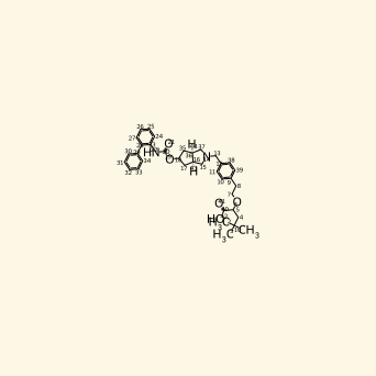 CC(C)(C)CC(OCCc1ccc(CN2C[C@H]3CC(OC(=O)Nc4ccccc4-c4ccccc4)C[C@H]3C2)cc1)C(=O)O